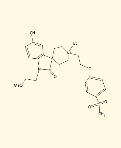 CC[N+]1(CCOc2ccc(S(C)(=O)=O)cc2)CCC2(CC1)C(=O)N(CCOC)c1ccc(C#N)cc12